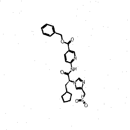 O=C(OCc1ccccc1)c1ccc(NC(=O)[C@H](CC2CCCC2)n2cnc(C[SH](=O)=O)c2)nc1